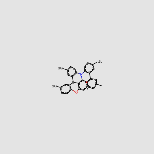 Cc1cc(C)cc(-c2cc(C(C)(C)C)ccc2N2c3ccc(C(C)(C)C)cc3B3c4cc(C(C)(C)C)ccc4Oc4cccc2c43)c1